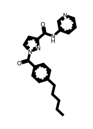 CCCCCc1ccc(C(=O)n2ccc(C(=O)Nc3cccnc3)n2)cc1